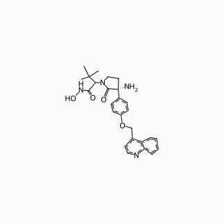 CC(C)(C)C(C(=O)NO)N1CC[C@@](N)(c2ccc(OCc3ccnc4ccccc34)cc2)C1=O